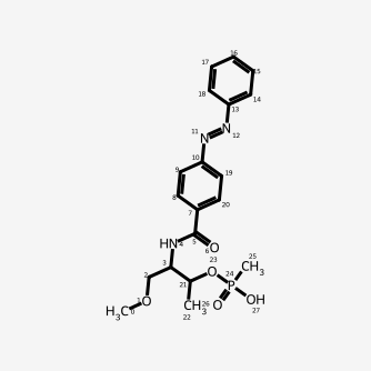 COCC(NC(=O)c1ccc(/N=N/c2ccccc2)cc1)C(C)OP(C)(=O)O